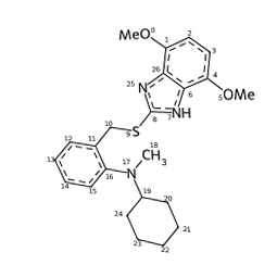 COc1ccc(OC)c2[nH]c(SCc3ccccc3N(C)C3CCCCC3)nc12